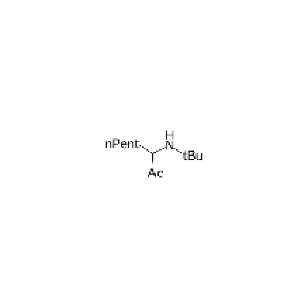 CCCCCC(NC(C)(C)C)C(C)=O